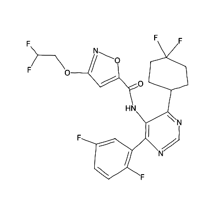 O=C(Nc1c(-c2cc(F)ccc2F)ncnc1C1CCC(F)(F)CC1)c1cc(OCC(F)F)no1